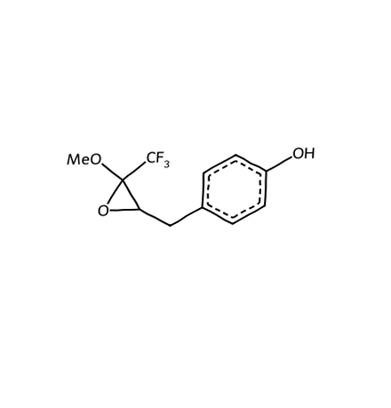 COC1(C(F)(F)F)OC1Cc1ccc(O)cc1